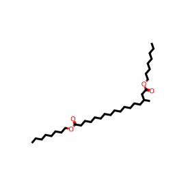 CCCCCCCCOC(=O)CCCCCCCCCCCCCC(C)CC(=O)OCCCCCCCC